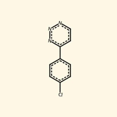 Clc1ccc(-c2ccnnn2)cc1